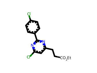 CCOC(=O)CCc1cc(Cl)nc(-c2ccc(Cl)cc2)n1